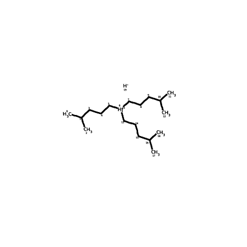 CC(C)CC[CH2][Hf+]([CH2]CCC(C)C)[CH2]CCC(C)C.[H-]